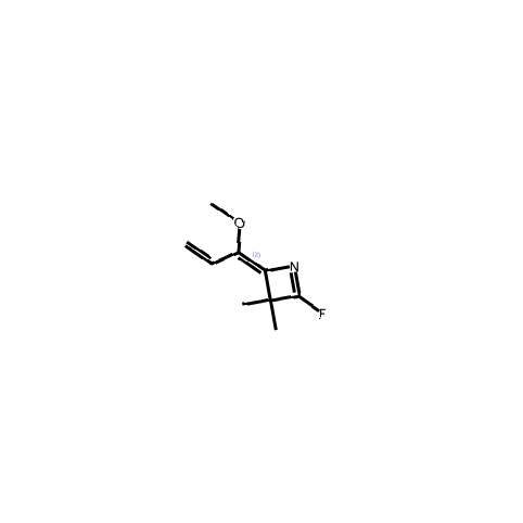 C=C/C(OC)=C1/N=C(F)C1(C)C